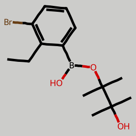 CCc1c(Br)cccc1B(O)OC(C)(C)C(C)(C)O